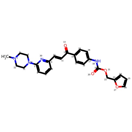 CN1CCN(c2cccc(/C=C/C(=O)c3ccc(NC(=O)OCc4ccco4)cc3)n2)CC1